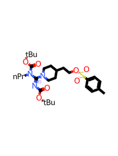 CCCN(C(=O)OC(C)(C)C)/C(=N/C(=O)OC(C)(C)C)N1CCC(CCOS(=O)(=O)c2ccc(C)cc2)CC1